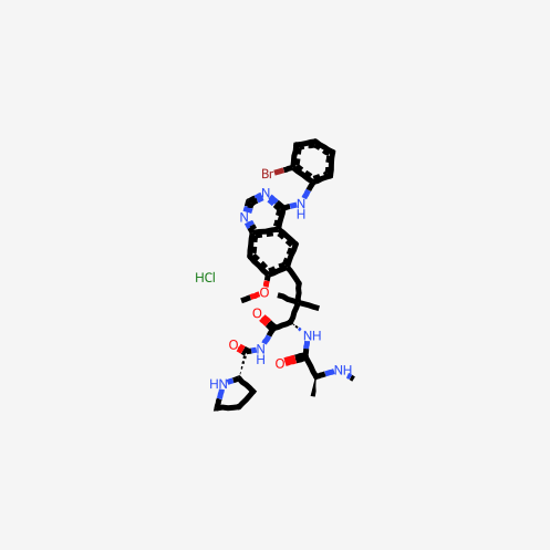 CN[C@@H](C)C(=O)N[C@H](C(=O)NC(=O)[C@@H]1CCCN1)C(C)(C)Cc1cc2c(Nc3ccccc3Br)ncnc2cc1OC.Cl